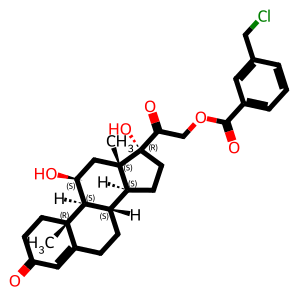 C[C@]12CCC(=O)C=C1CC[C@@H]1[C@@H]2[C@@H](O)C[C@@]2(C)[C@H]1CC[C@]2(O)C(=O)COC(=O)c1cccc(CCl)c1